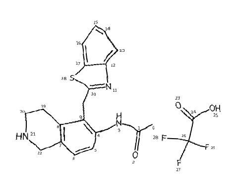 CC(=O)Nc1ccc2c(c1-c1nc3ccccc3s1)CCNC2.O=C(O)C(F)(F)F